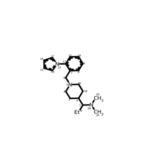 C[CH]C(C1CCN(Cc2ccccc2-n2cccc2)CC1)N(C)C